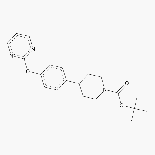 CC(C)(C)OC(=O)N1CCC(c2ccc(Oc3ncccn3)cc2)CC1